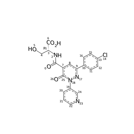 O=C(N[C@H](CO)C(=O)O)c1cc(-c2ccc(Cl)cc2)nn(-c2cccnc2)c1=O